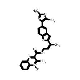 CC(=CCNC(=O)c1nc2ccccc2[n+]([O-])c1C)c1cc2cc(-c3nc(C)sc3C)ccc2o1